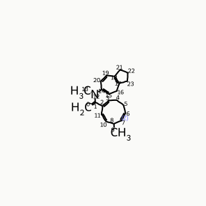 C=C(C1=CCC/C=C\C(C)C=C1)N(C)C1=CCC2=C(C=C1)CCC2